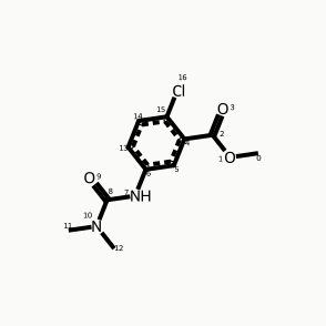 COC(=O)c1cc(NC(=O)N(C)C)ccc1Cl